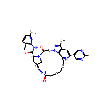 CC(=O)c1nn2c3c(nc(-c4cnc(C)nc4)cc13)CCCCCC(=O)NC[C@]1(C)C[C@@H](C(=O)Nc3nc(C(F)(F)F)ccc3C)N(C1)C(=O)C2